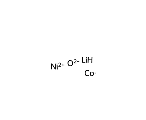 [Co].[LiH].[Ni+2].[O-2]